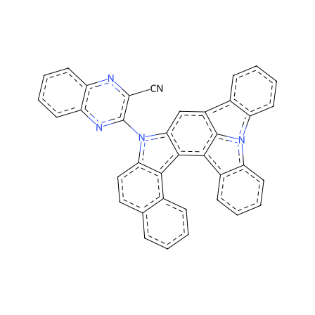 N#Cc1nc2ccccc2nc1-n1c2ccc3ccccc3c2c2c3c4ccccc4n4c5ccccc5c(cc21)c34